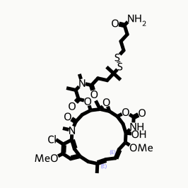 COc1cc2cc(c1Cl)N(C)C(=O)CC(OC(=O)C(C)N(C)C(=O)CCC(C)(C)SSCCCC(N)=O)C1(C)OC1C1CC(O)(NC(=O)O1)C(OC)/C=C/C=C(\C)C2